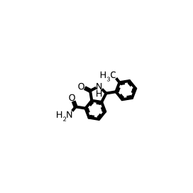 Cc1ccccc1C1NC(=O)c2c(C(N)=O)cccc21